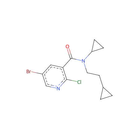 O=C(c1cc(Br)cnc1Cl)N(CCC1CC1)C1CC1